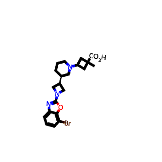 CC1(C(=O)O)CC(N2CCC[C@H](C3CN(c4nc5cccc(Br)c5o4)C3)C2)C1